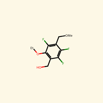 CCOc1c(F)c(COC)c(F)c(F)c1CO